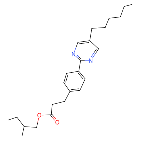 CCCCCCc1cnc(-c2ccc(CCC(=O)OCC(C)CC)cc2)nc1